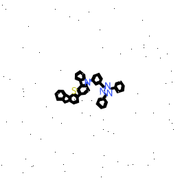 c1ccc(-c2nc(-c3ccccc3)nc(-c3cccc(-n4c5ccccc5c5c6sc7c8c(ccc7c6ccc54)Cc4ccccc4-8)c3)n2)cc1